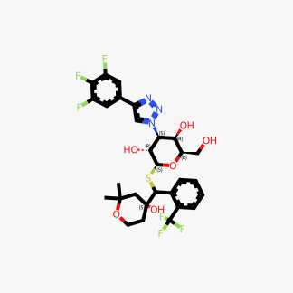 CC1(C)C[C@](O)(C(S[C@@H]2O[C@H](CO)[C@H](O)[C@H](n3cc(-c4cc(F)c(F)c(F)c4)nn3)[C@H]2O)c2ccccc2C(F)(F)F)CCO1